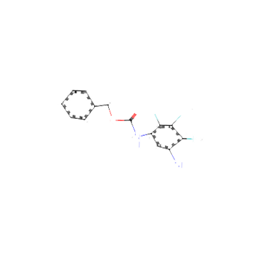 Nc1cc(NC(=O)OCc2ccccc2)c(F)c(F)c1F